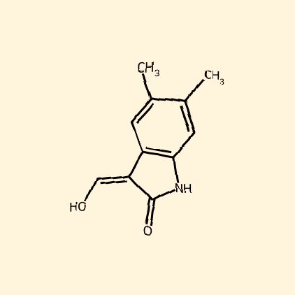 Cc1cc2c(cc1C)C(=CO)C(=O)N2